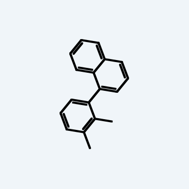 Cc1cccc(-c2cccc3ccccc23)c1C